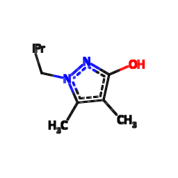 Cc1c(O)nn(CC(C)C)c1C